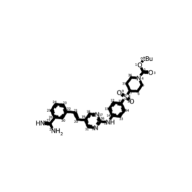 CC(C)(C)OC(=O)N1CCC(S(=O)(=O)c2ccc(Nc3ncc(C=Cc4cccc(C(=N)N)c4)cn3)cc2)CC1